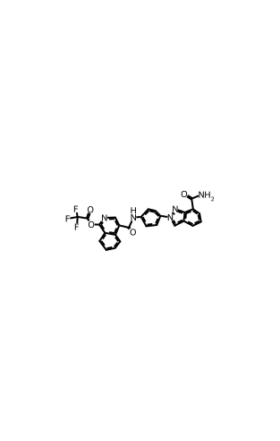 NC(=O)c1cccc2cn(-c3ccc(NC(=O)c4cnc(OC(=O)C(F)(F)F)c5ccccc45)cc3)nc12